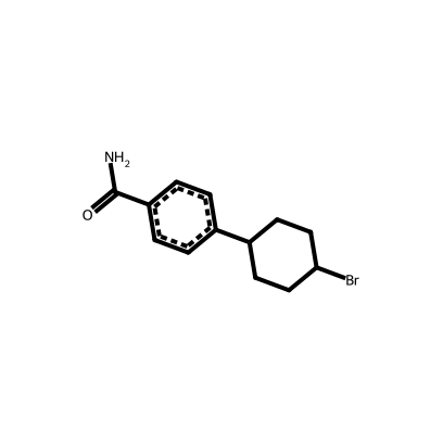 NC(=O)c1ccc(C2CCC(Br)CC2)cc1